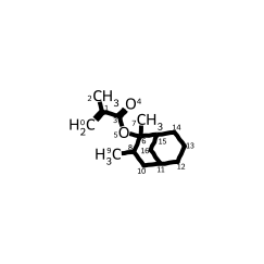 C=C(C)C(=O)OC1(C)C(C)CC2CCCC1C2